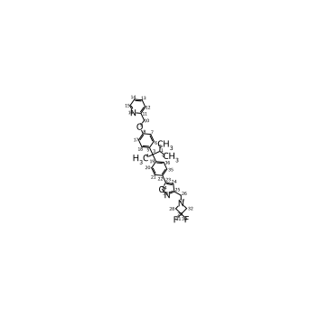 CC(C)C(C)(c1ccc(OCc2ccccn2)cc1)c1ccc(-c2cc(CN3CC(F)(F)C3)no2)cc1